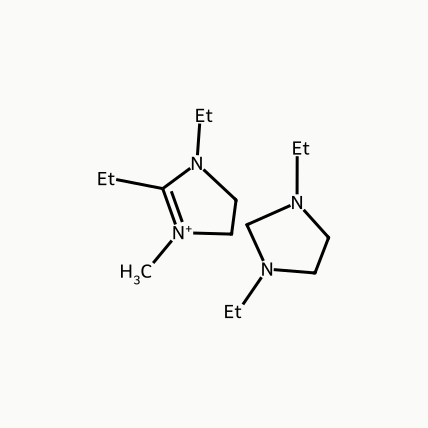 CCC1=[N+](C)CCN1CC.CCN1CCN(CC)C1